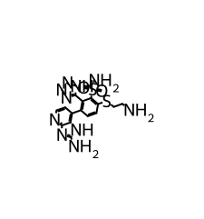 NCCSc1ccc(-c2ccnc3nc(N)[nH]c23)c(-c2nnn[nH]2)c1S(N)(=O)=O